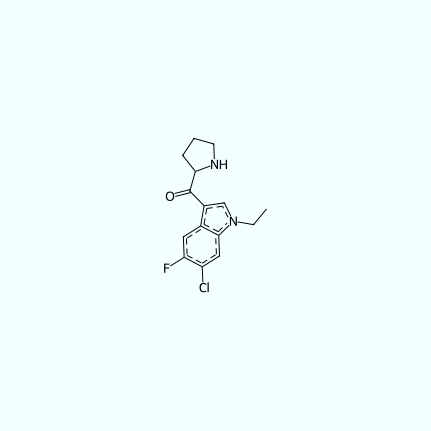 CCn1cc(C(=O)C2CCCN2)c2cc(F)c(Cl)cc21